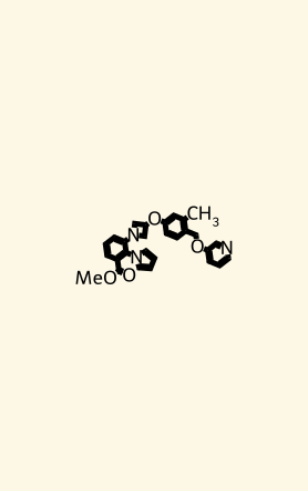 COC(=O)c1cccc(N2CC(Oc3ccc(COc4cccnc4)c(C)c3)C2)c1-n1cccc1